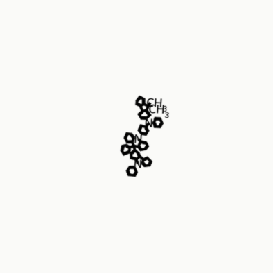 CC1(C)c2ccccc2-c2ccc(N(c3ccccc3)c3ccc(N4c5ccccc5C(c5ccccc5)(c5ccc6c(c5)c5ccccc5n6-c5ccccc5)c5ccccc54)cc3)cc21